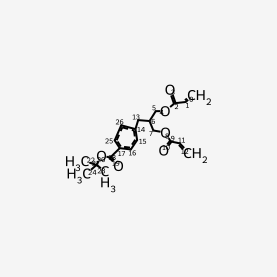 C=CC(=O)OCC(COC(=O)C=C)Cc1ccc(C(=O)OC(C)(C)C)cc1